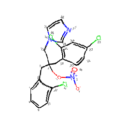 O=[N+]([O-])OC(Cc1ccccc1Cl)(Cn1ccnc1)c1ccc(Cl)cc1Cl